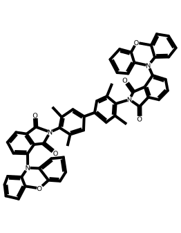 Cc1cc(-c2cc(C)c(N3C(=O)c4cccc(N5c6ccccc6Oc6ccccc65)c4C3=O)c(C)c2)cc(C)c1N1C(=O)c2cccc(N3c4ccccc4Oc4ccccc43)c2C1=O